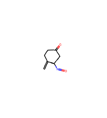 C=C1CCC(=O)CC1N=O